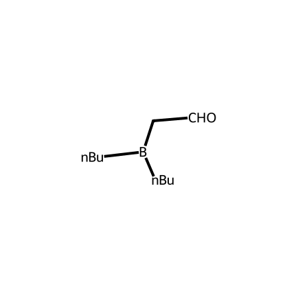 CCCCB(CC=O)CCCC